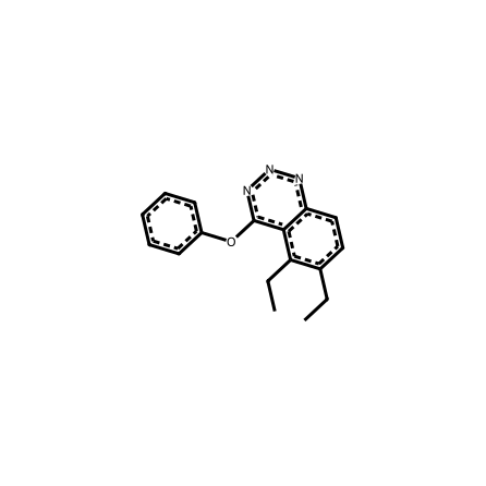 CCc1ccc2nnnc(Oc3ccccc3)c2c1CC